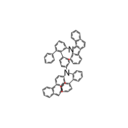 c1ccc(-c2ccccc2N(c2ccc(-c3c(-c4ccccc4)cccc3-n3c4ccccc4c4ccc5ccccc5c43)cc2)c2ccc3c(ccc4ccccc43)c2)cc1